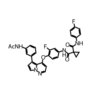 CC(=O)Nc1cccc(-c2ccn3nccc(Oc4ccc(NC(=O)C5(C(=O)Nc6ccc(F)cc6)CC5)cc4F)c23)c1